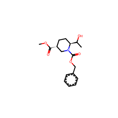 COC(=O)[C@@H]1CC[C@@H](C(C)O)N(C(=O)OCc2ccccc2)C1